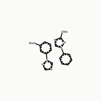 COc1cccc(-n2cncn2)c1.COc1ncn(-c2ccccc2)n1